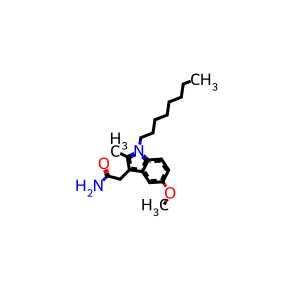 CCCCCCCCn1c(C)c(CC(N)=O)c2cc(OC)ccc21